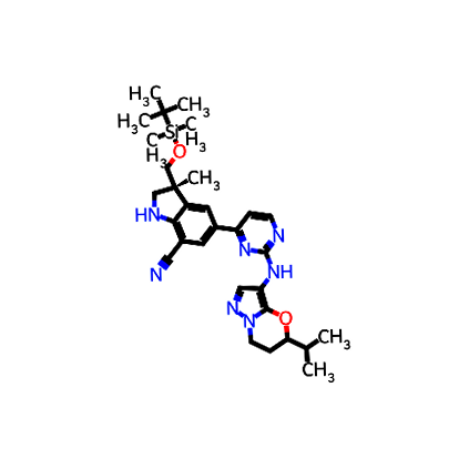 CC(C)C1CCn2ncc(Nc3nccc(-c4cc(C#N)c5c(c4)[C@@](C)(CO[Si](C)(C)C(C)(C)C)CN5)n3)c2O1